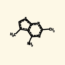 Cc1nc(N)c2c(C)csc2n1